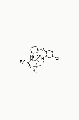 C[C@@H]1CCN2c3cc(Cl)ccc3Oc3ccccc3[C@@H]2[C@@H]1NC(=O)C(F)(F)F